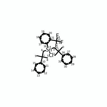 CC(C)([CH2][Sn]([Cl])([CH2]C(C)(C)c1ccccc1)[c]1ccccc1C(F)(F)F)c1ccccc1